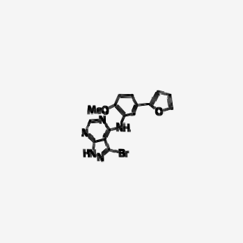 COc1ccc(-c2ccco2)cc1Nc1ncnc2[nH]nc(Br)c12